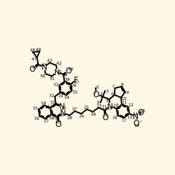 COC(C)(C)C1C2CC=CC2c2cc([N+](=O)[O-])ccc2N1C(=O)CCCCCCn1nc(Cc2ccc(F)c(C(=O)N3CCN(C(=O)C4CC4)CC3)c2)c2ccccc2c1=O